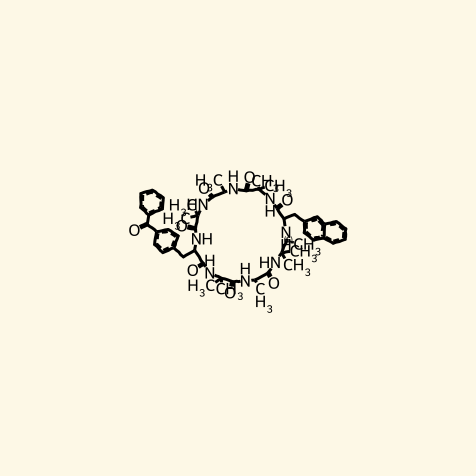 CC1NC(=O)C(C)(C)NC(=O)C(Cc2ccc(C(=O)c3ccccc3)cc2)NC(=O)C(C)(C)NC(=O)C(C)NC(=O)C(C)(C)NC(=O)C(Cc2ccc3ccccc3c2)N[C@@H](C)C(C)(C)NC1=O